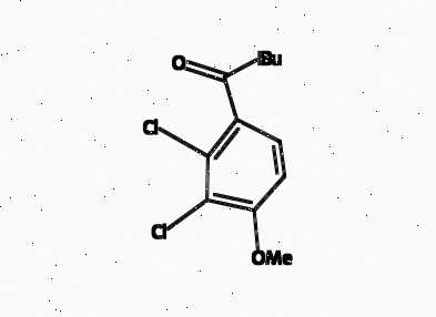 CCC(C)C(=O)c1ccc(OC)c(Cl)c1Cl